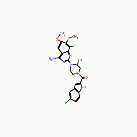 COc1cc2c(N)nc(N3CCN(C(=O)c4cc5cc(F)ccc5[nH]4)C[C@@H]3C)nc2c(F)c1OC